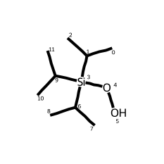 CC(C)[Si](OO)(C(C)C)C(C)C